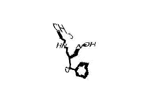 C=CCNCCC(C=NO)C(=O)c1ccccc1